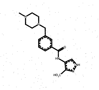 CN1CCN(Cc2cccc(C(=O)Nc3c[nH]nc3C(=O)O)c2)CC1